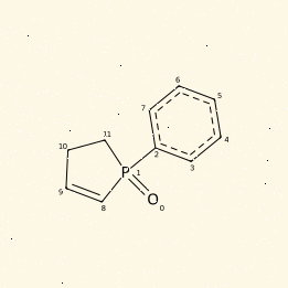 O=P1(c2ccccc2)C=CCC1